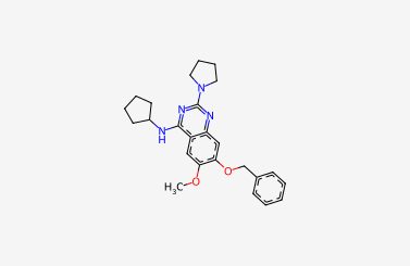 COc1cc2c(NC3CCCC3)nc(N3CCCC3)nc2cc1OCc1ccccc1